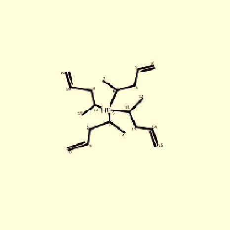 C=CCC(C)[PH](C(C)CC=C)(C(C)CC=C)C(C)CC=C